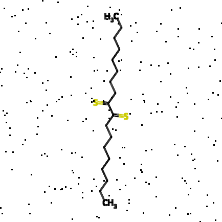 CCCCCCCCC(=S)C(=S)CCCCCCCC